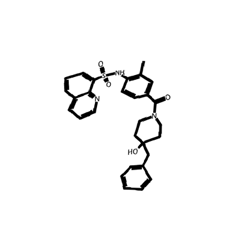 Cc1cc(C(=O)N2CCC(O)(Cc3ccccc3)CC2)ccc1NS(=O)(=O)c1cccc2cccnc12